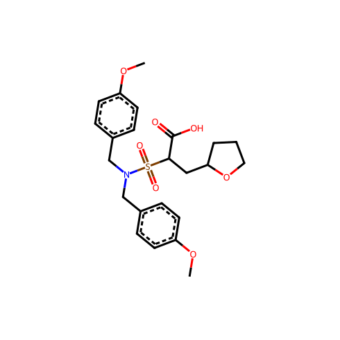 COc1ccc(CN(Cc2ccc(OC)cc2)S(=O)(=O)C(CC2CCCO2)C(=O)O)cc1